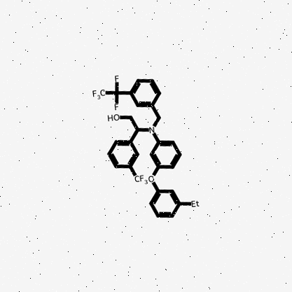 CCc1cccc(Oc2cccc(N(Cc3cccc(C(F)(F)C(F)(F)F)c3)C(CO)c3cccc(C(F)(F)F)c3)c2)c1